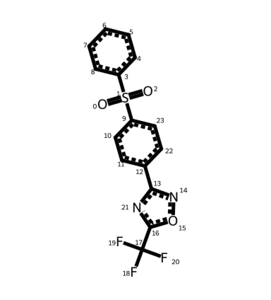 O=S(=O)(c1ccccc1)c1ccc(-c2noc(C(F)(F)F)n2)cc1